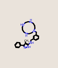 Cc1c(-c2ccccc2)n[nH]c1NCc1cccc(CN2CCCNCCNCCCNCC2)c1